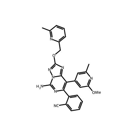 COc1cc(-c2c(-c3ccccc3C#N)nc(N)n3nc(OCc4cccc(C)n4)nc23)cc(C)n1